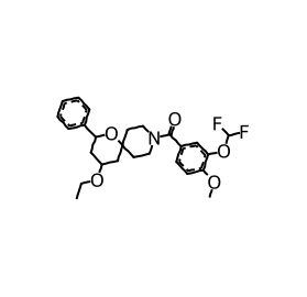 CCOC1CC(c2ccccc2)OC2(CCN(C(=O)c3ccc(OC)c(OC(F)F)c3)CC2)C1